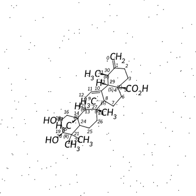 C=C1CC[C@]2(C(=O)O)CC[C@]3(C)C(=CC[C@@H]4[C@@]5(C)C[C@@H](O)[C@H](O)C(C)(C)C5CC[C@]43C)[C@@H]2[C@H]1C